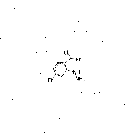 CCc1ccc(C(Cl)CC)c(NN)c1